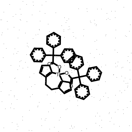 O=C([O][Ti]1([O]C(=O)C(c2ccccc2)(c2ccccc2)c2ccccc2)[C]2=C(C=CC2)CCC2=[C]1CC=C2)C(c1ccccc1)(c1ccccc1)c1ccccc1